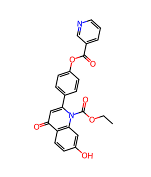 CCOC(=O)n1c(-c2ccc(OC(=O)c3cccnc3)cc2)cc(=O)c2ccc(O)cc21